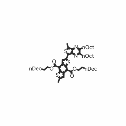 CCCCCCCCCCCCOC(=O)c1c2cc(-c3sc(C)c4nc(CCCCCCCC)c(CCCCCCCC)nc34)sc2c(C(=O)OCCCCCCCCCCCC)c2cc(C)sc12